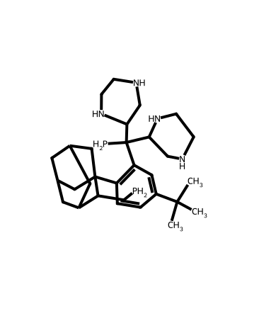 CC(C)(C)c1ccc(C23CC4CC(CC(C4)C2CP)C3)c(C(P)(C2CNCCN2)C2CNCCN2)c1